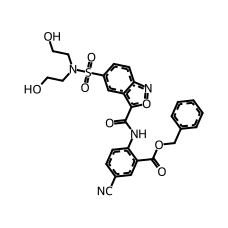 N#Cc1ccc(NC(=O)c2onc3ccc(S(=O)(=O)N(CCO)CCO)cc23)c(C(=O)OCc2ccccc2)c1